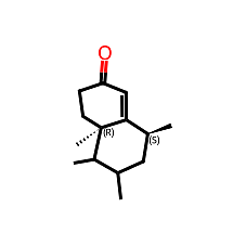 CC1C[C@H](C)C2=CC(=O)CC[C@]2(C)C1C